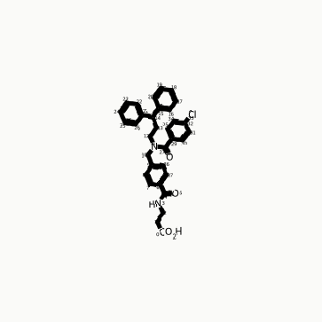 O=C(O)CCNC(=O)c1ccc(CN(CCC(c2ccccc2)c2ccccc2)C(=O)c2ccc(Cl)cc2)cc1